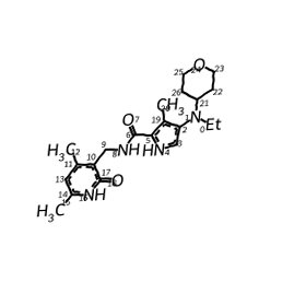 CCN(c1c[nH]c(C(=O)NCc2c(C)cc(C)[nH]c2=O)c1C)C1CCOCC1